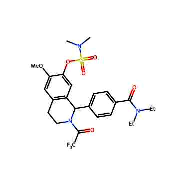 CCN(CC)C(=O)c1ccc(C2c3cc(OS(=O)(=O)N(C)C)c(OC)cc3CCN2C(=O)C(F)(F)F)cc1